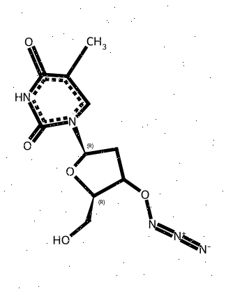 Cc1cn([C@H]2CC(ON=[N+]=[N-])[C@@H](CO)O2)c(=O)[nH]c1=O